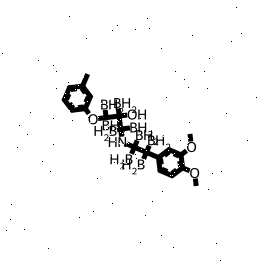 BC(B)(NC(B)(B)C(B)(O)C(B)(B)Oc1cccc(C)c1)C(B)(B)c1ccc(OC)c(OC)c1